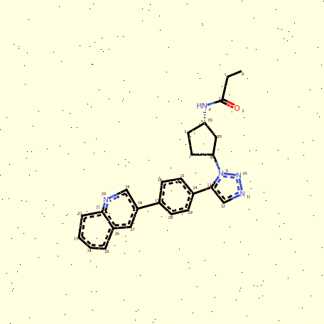 CCC(=O)N[C@H]1CCC(n2nncc2-c2ccc(-c3cnc4ccccc4c3)cc2)C1